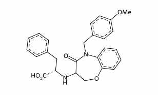 COc1ccc(CN2C(=O)C(N[C@@H](Cc3ccccc3)C(=O)O)COc3ccccc32)cc1